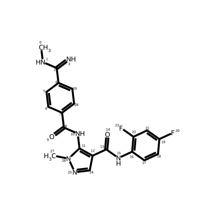 CNC(=N)c1ccc(C(=O)Nc2c(C(=O)Nc3ccc(F)cc3F)cnn2C)cc1